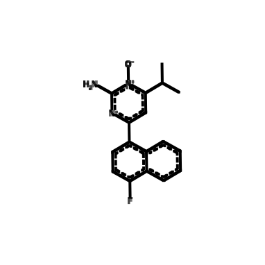 CC(C)c1cc(-c2ccc(F)c3ccccc23)nc(N)[n+]1[O-]